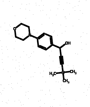 C[Si](C)(C)C#CC(O)c1ccc(N2CCOCC2)cc1